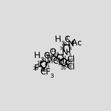 CC(=O)N(C)C1CCN(CC[C@@](C)(C(=O)N(C)Cc2ccc(F)c(C(F)(F)F)c2)c2ccc(Cl)c(Cl)c2)CC1